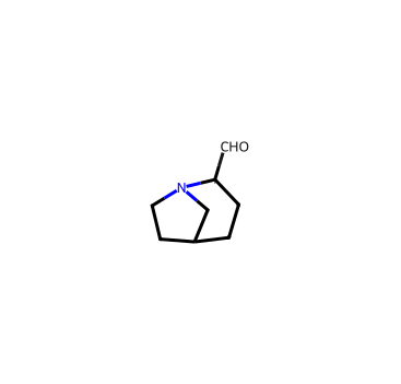 O=C[C]1CCC2CCN1C2